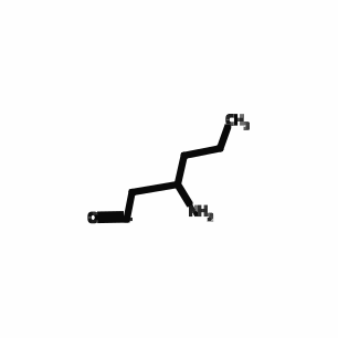 CCCC(N)C[C]=O